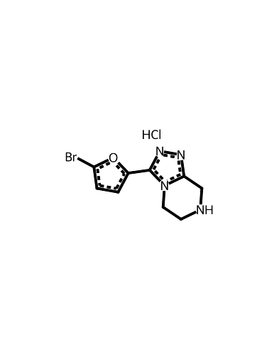 Brc1ccc(-c2nnc3n2CCNC3)o1.Cl